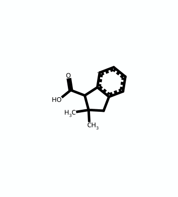 CC1(C)Cc2ccc[c]c2C1C(=O)O